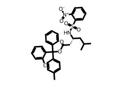 Cc1ccc(C(OC(=O)C[C@@H](CC(C)C)NS(=O)(=O)c2ccccc2[N+](=O)[O-])(c2ccccc2)c2ccccc2Cl)cc1